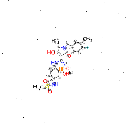 CCO[PH]1(O)N=C(C2=C(O)[C@H](C(C)(C)C)N(Cc3ccc(F)c(C)c3)C2=O)Nc2ccc(NS(C)(=O)=O)cc21